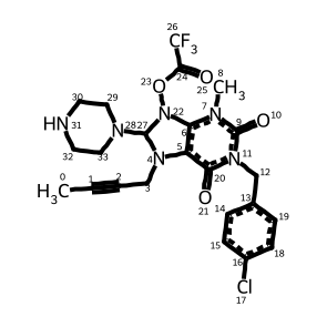 CC#CCN1c2c(n(C)c(=O)n(Cc3ccc(Cl)cc3)c2=O)N(OC(=O)C(F)(F)F)C1N1CCNCC1